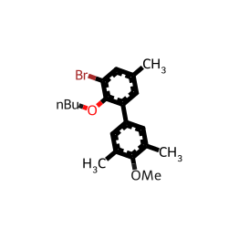 CCCCOc1c(Br)cc(C)cc1-c1cc(C)c(OC)c(C)c1